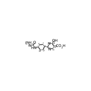 CCNC(=O)Nc1ccc(-c2ncc(C(=O)O)c(O)n2)cc1